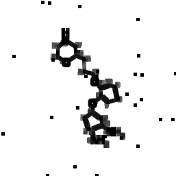 Nc1ccc(Oc2ccccc2OCCCC2CNCCO2)cc1N